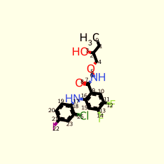 CCC(O)CONC(=O)c1cc(F)c(F)cc1Nc1ccc(I)cc1Cl